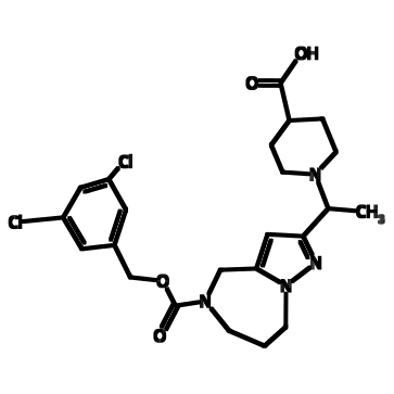 CC(c1cc2n(n1)CCCN(C(=O)OCc1cc(Cl)cc(Cl)c1)C2)N1CCC(C(=O)O)CC1